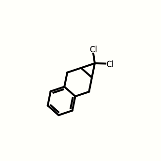 ClC1(Cl)C2Cc3ccccc3CC21